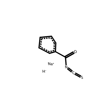 O=C(N=C=S)c1ccccc1.[H-].[Na+]